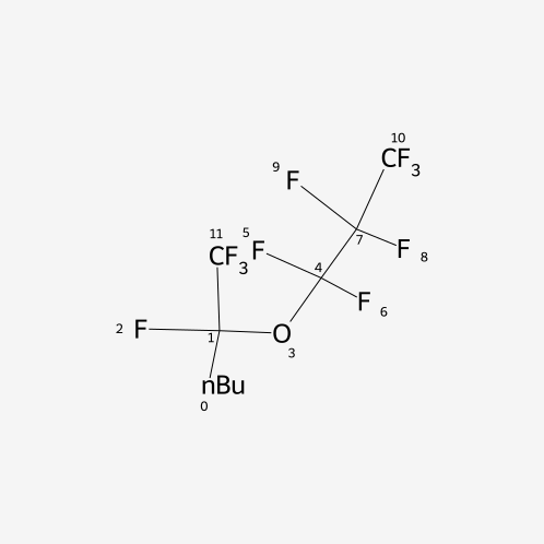 CCCCC(F)(OC(F)(F)C(F)(F)C(F)(F)F)C(F)(F)F